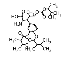 CC(C)C(C)OC(=O)OCC(C)C(c1ccc(OC(=O)C(C)C(C)C)c(OC(=O)C(C)C(C)C)c1)[C@H](N)C(=O)O